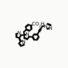 O=C(O)c1ccc(CC2(C3=NC=CC3=C3C=CC=N3)C=CC(c3cccc(C#CCn4ccnc4)c3)=N2)cc1